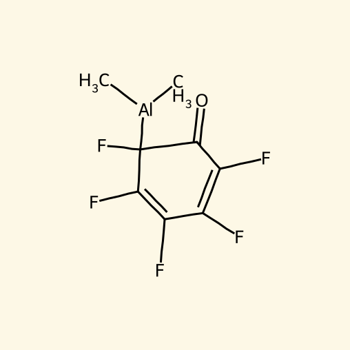 [CH3][Al]([CH3])[C]1(F)C(=O)C(F)=C(F)C(F)=C1F